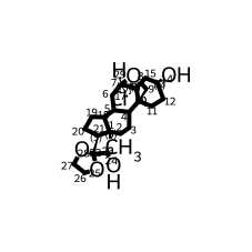 C[C@]12CCC3C(C[C@H]4OC[C@@]35CC[C@H](O)C[C@]45Cl)C1CC[C@@H]2C1(CO)OCCO1